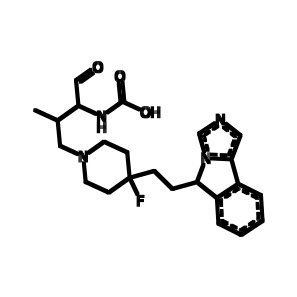 CC(CN1CCC(F)(CCC2c3ccccc3-c3cncn32)CC1)C(C=O)NC(=O)O